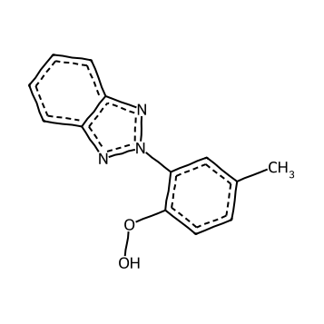 Cc1ccc(OO)c(-n2nc3ccccc3n2)c1